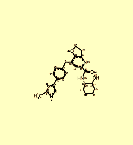 Cc1ncc(-c2ccc(Cc3cc(C(=O)N[C@H]4CCCC[C@@H]4O)nc4c3OCC4)cc2)s1